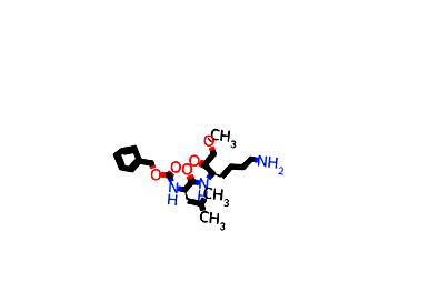 COCC(=O)[C@H](CCCCN)NC(=O)[C@H](CC(C)C)NC(=O)OCc1ccccc1